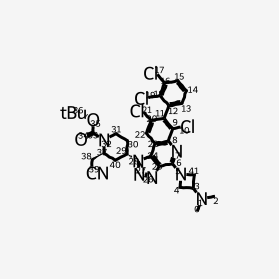 CN(C)C1CN(c2nc3c(Cl)c(-c4cccc(Cl)c4Cl)c(Cl)cc3c3c2nnn3[C@H]2CCN(C(=O)OC(C)(C)C)[C@H](CC#N)C2)C1